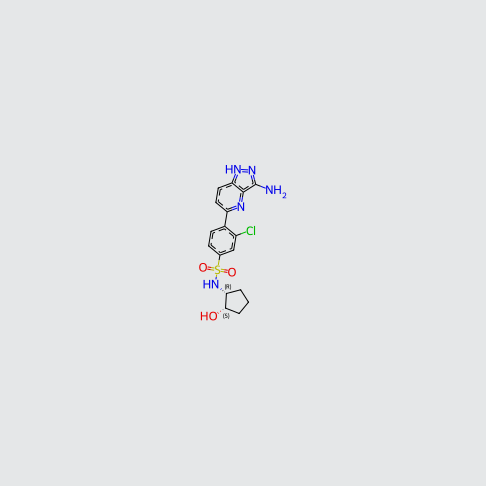 Nc1n[nH]c2ccc(-c3ccc(S(=O)(=O)N[C@@H]4CCC[C@@H]4O)cc3Cl)nc12